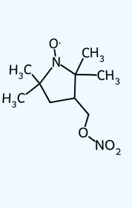 CC1(C)CC(CO[N+](=O)[O-])C(C)(C)N1[O]